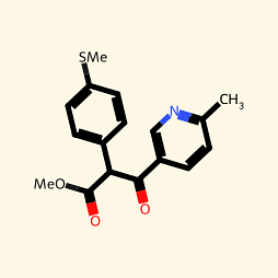 COC(=O)C(C(=O)c1ccc(C)nc1)c1ccc(SC)cc1